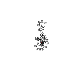 O=C(COCC1COC2(CCCCC2)O1)OC12CC3CC(C1)C(OC(=O)C(F)(F)S(=O)(=O)O)C(C3)C2